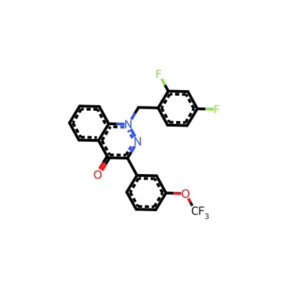 O=c1c(-c2cccc(OC(F)(F)F)c2)nn(Cc2ccc(F)cc2F)c2ccccc12